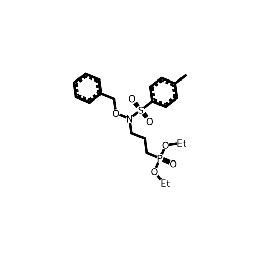 CCOP(=O)(CCCN(OCc1ccccc1)S(=O)(=O)c1ccc(C)cc1)OCC